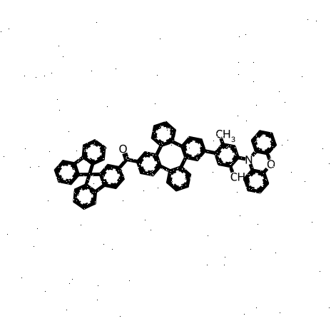 Cc1cc(N2c3ccccc3Oc3ccccc32)c(C)cc1-c1ccc2c(c1)-c1ccccc1-c1ccc(C(=O)c3ccc4c(c3)C3(c5ccccc5-c5ccccc53)c3ccccc3-4)cc1-c1ccccc1-2